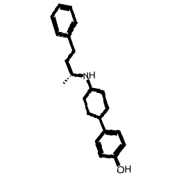 C[C@H](CCc1ccccc1)NC1CCC(c2ccc(O)cc2)CC1